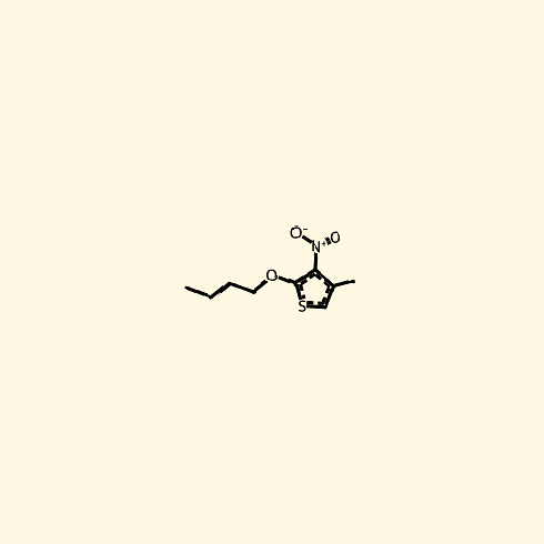 CCCCOc1scc(C)c1[N+](=O)[O-]